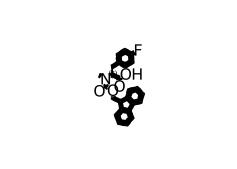 CN(C(=O)OCC1c2ccccc2-c2ccccc21)[C@@H](Cc1ccc(F)cc1)C(=O)O